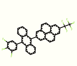 Fc1cc(-c2c3ccccc3c(-c3cc4ccc5cc(C(F)(F)C(F)(F)F)cc6ccc(c3)c4c56)c3ccccc23)cc(F)c1F